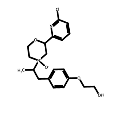 CC(Cc1ccc(OCCO)cc1)[N+]1([O-])CCOC(c2cccc(Cl)n2)C1